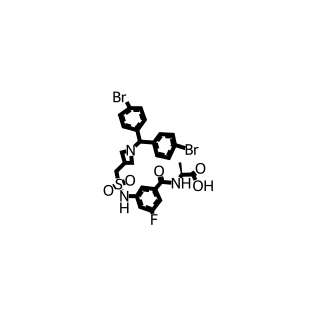 C[C@H](NC(=O)c1cc(F)cc(NS(=O)(=O)CC2CN(C(c3ccc(Br)cc3)c3ccc(Br)cc3)C2)c1)C(=O)O